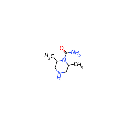 CC1CNCC(C)N1C(N)=O